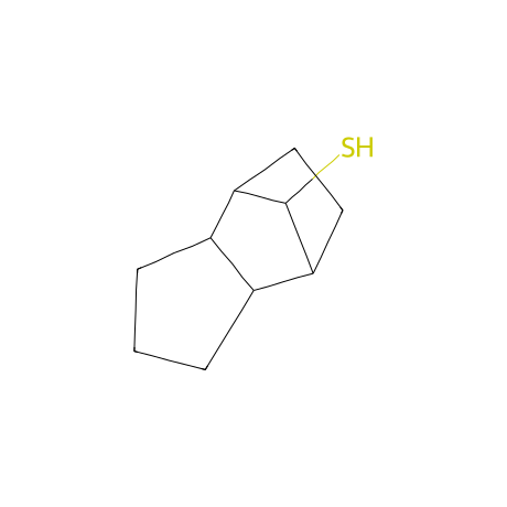 SC1C2CCC1C1CCCC21